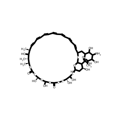 CC1OC(CC2/C=C/C=C/C=C/C=C/C=C/C=C/C=C/[C@H](C)C(O)[C@@H](C)[C@H](C)OC(=O)C[C@H](O)CC(O)CC(=O)CC[C@@H](O)C(O)CC3(O)C[C@H](O)C(C(=O)O)C(C2)O3)C(O)C(N)C1O